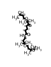 COC(C)(C)CCOC(C)(C)CCNC(=O)CCCC(=O)C(C)(C)OCCC(C)C